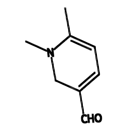 CC1=CC=C(C=O)CN1C